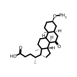 C[C@H](CCC(=O)O)[C@H]1CC[C@H]2[C@@H]3C(=O)C[C@@H]4C[C@H](OP)CC[C@]4(C)[C@H]3CC[C@]12C